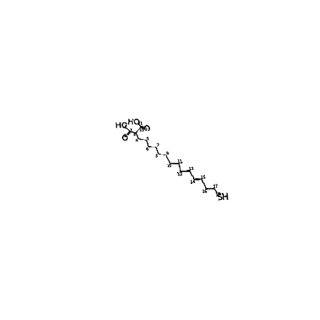 O=C(O)C(CCCCCCCCCCCCCCS)C(=O)O